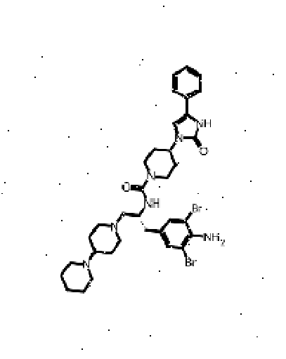 Nc1c(Br)cc(C[C@H](CN2CCC(N3CCCCC3)CC2)NC(=O)N2CCC(n3cc(-c4ccccc4)[nH]c3=O)CC2)cc1Br